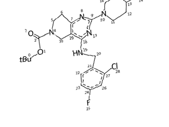 CC(C)(C)OC(=O)N1CCc2nc(N3CCC(C(=O)O)CC3)nc(NCc3ccc(F)cc3Cl)c2C1